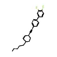 CCCCCC1CCC(C#Cc2ccc(-c3ccc(F)c(F)c3)cc2)CC1